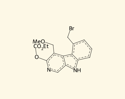 CCOC(=O)Oc1ncc2[nH]c3cccc(CBr)c3c2c1COC